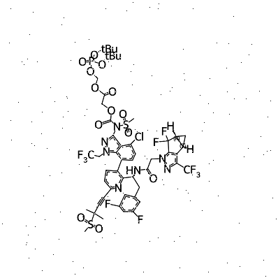 CC(C)(C)OP(=O)(OCOC(=O)COC(=O)N(c1nn(CC(F)(F)F)c2c(-c3ccc(C#CC(C)(C)S(C)(=O)=O)nc3C(Cc3cc(F)cc(F)c3)NC(=O)Cn3nc(C(F)(F)F)c4c3C(F)(F)[C@@H]3C[C@H]43)ccc(Cl)c12)S(C)(=O)=O)OC(C)(C)C